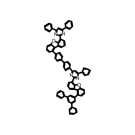 c1ccc(-c2cc(-c3ccccc3)cc(-c3cccc4oc5c(-c6nc(-c7ccccc7)cc(-c7ccc(-c8ccc(-c9cccc%10oc%11c(-c%12nc(-c%13ccccc%13)cc(-c%13ccccc%13)n%12)cccc%11c9%10)cc8)cc7)n6)cccc5c34)c2)cc1